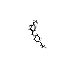 CCN1CCN(Cc2cnc(C)nc2)CC1